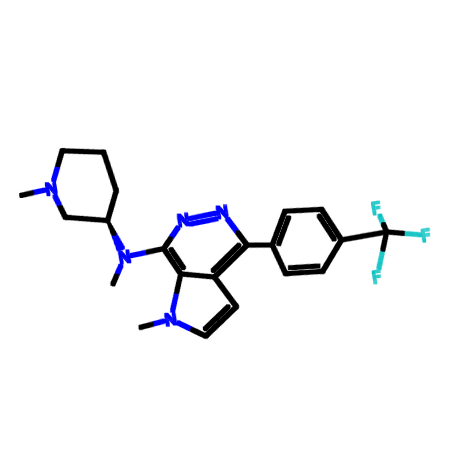 CN1CCC[C@@H](N(C)c2nnc(-c3ccc(C(F)(F)F)cc3)c3ccn(C)c23)C1